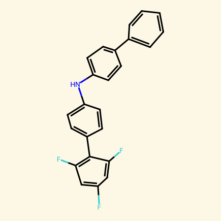 Fc1cc(F)c(-c2ccc(Nc3ccc(-c4ccccc4)cc3)cc2)c(F)c1